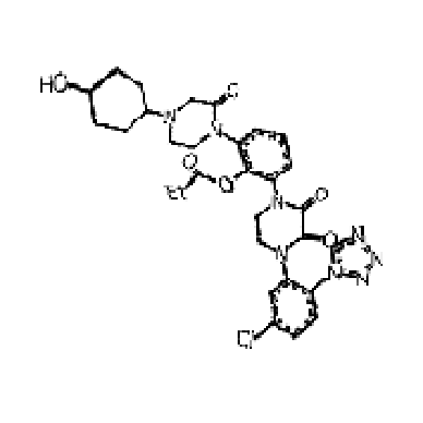 CCC(=O)Oc1c(N2CCN(C3CCC(O)CC3)CC2=O)cccc1N1CCN(c2cc(Cl)ccc2-n2cnnn2)C(=O)C1=O